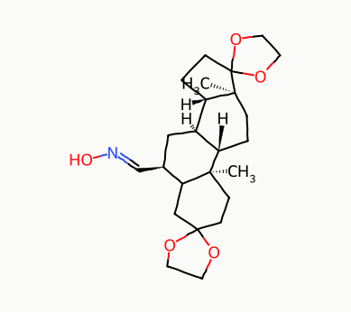 C[C@]12CCC3(CC1[C@@H](/C=N/O)C[C@@H]1[C@@H]2CC[C@@]2(C)[C@H]1CCC21OCCO1)OCCO3